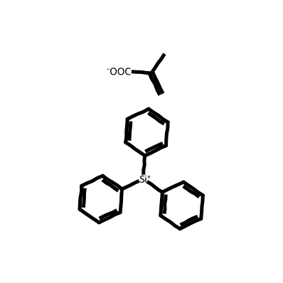 C=C(C)C(=O)[O-].c1ccc([Si+](c2ccccc2)c2ccccc2)cc1